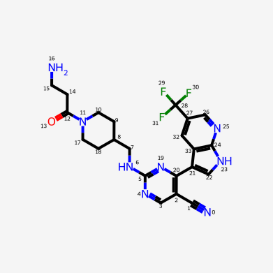 N#Cc1cnc(NCC2CCN(C(=O)CCN)CC2)nc1-c1c[nH]c2ncc(C(F)(F)F)cc12